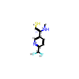 CN/C(=C\S)c1ccc(C(F)F)nc1